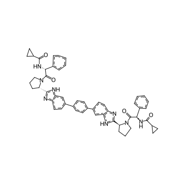 O=C(N[C@@H](C(=O)N1CCC[C@H]1c1nc2ccc(-c3ccc(-c4ccc5nc([C@@H]6CCCN6C(=O)[C@H](NC(=O)C6CC6)c6ccccc6)[nH]c5c4)cc3)cc2[nH]1)c1ccccc1)C1CC1